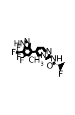 Cc1c(F)c(C(F)(F)F)c2[nH]ncc2c1-c1ccc2nc(NC(=O)[C@@H]3C[C@@H]3F)cn2c1